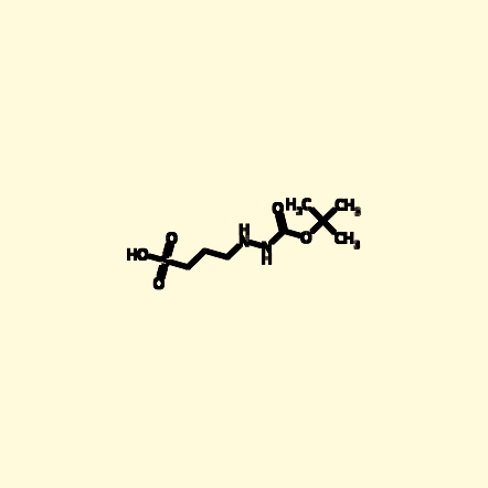 CC(C)(C)OC(=O)NNCCCS(=O)(=O)O